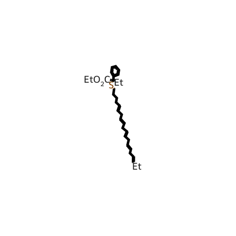 CCC=CCC=CCC=CCC=CCC=CCCCCSC(CC)(C(=O)OCC)c1ccccc1